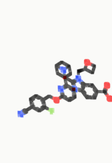 N#Cc1ccc(COc2cccc(C3CC4CC(C3)N4Cc3nc4ccc(C(=O)O)cc4n3C[C@@H]3CCO3)n2)c(F)c1